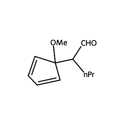 CCCC(C=O)C1(OC)C=CC=C1